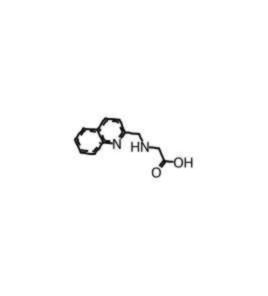 O=C(O)CNCc1ccc2ccccc2n1